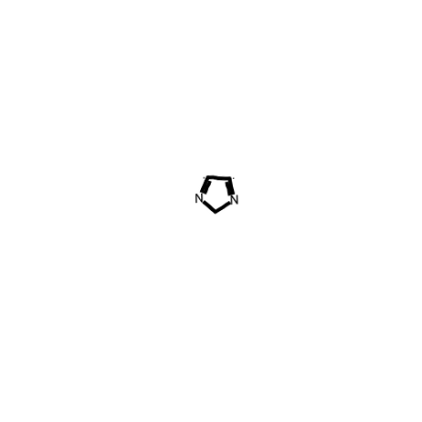 [C]1=NCN=[C]1